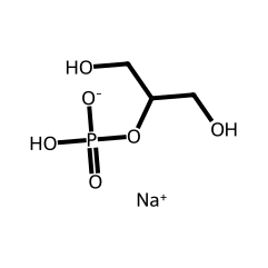 O=P([O-])(O)OC(CO)CO.[Na+]